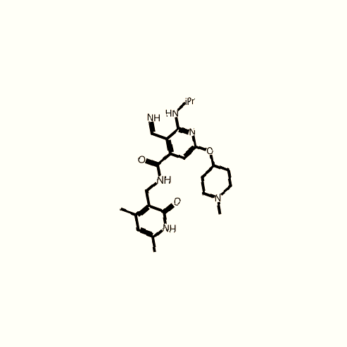 Cc1cc(C)c(CNC(=O)c2cc(OC3CCN(C)CC3)nc(NC(C)C)c2C=N)c(=O)[nH]1